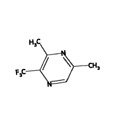 Cc1cnc(C(F)(F)F)c(C)n1